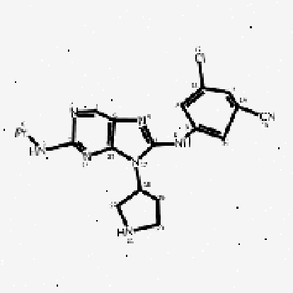 CC(C)Nc1ncc2nc(Nc3cc(Cl)cc(C#N)c3)n(C3CCNC3)c2n1